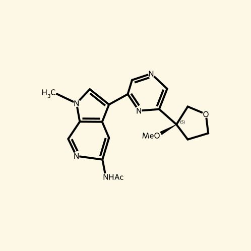 CO[C@]1(c2cncc(-c3cn(C)c4cnc(NC(C)=O)cc34)n2)CCOC1